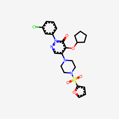 O=c1c(OC2CCCC2)c(N2CCN(S(=O)(=O)c3ccco3)CC2)cnn1-c1cccc(Cl)c1